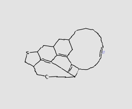 C1=C\CCC2C3=C4C5=C6C(CCC42)CSC6CC2CC(CCCC/1)CC3=C52